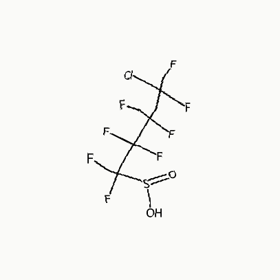 O=S(O)C(F)(F)C(F)(F)C(F)(F)C(F)(F)Cl